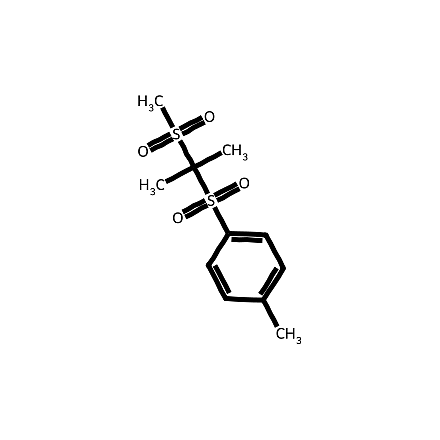 Cc1ccc(S(=O)(=O)C(C)(C)S(C)(=O)=O)cc1